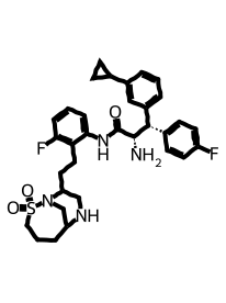 N[C@H](C(=O)Nc1cccc(F)c1CCC1CNC2CCCS(=O)(=O)N1C2)[C@@H](c1ccc(F)cc1)c1cccc(C2CC2)c1